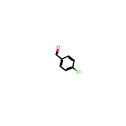 O=[C]c1ccc(Cl)cc1